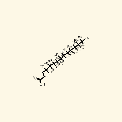 O=C(O)CCC(F)(F)C(F)(F)C(F)(F)C(F)(F)C(F)(F)C(F)(F)C(F)(F)C(F)(F)C(F)(F)C(F)(F)C(F)(F)F